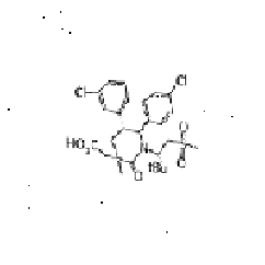 CC(C)(C)[C@@H](CS(C)(=O)=O)N1C(=O)[C@](C)(CC(=O)O)C[C@H](c2cccc(Cl)c2)[C@H]1c1ccc(Cl)cc1